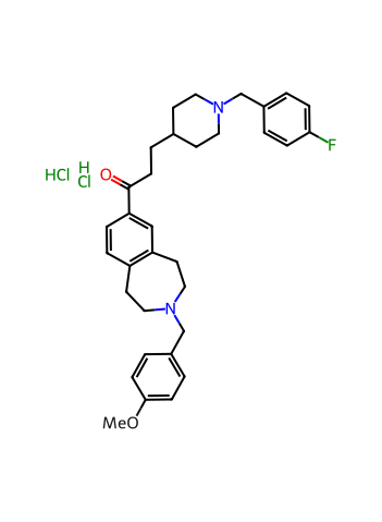 COc1ccc(CN2CCc3ccc(C(=O)CCC4CCN(Cc5ccc(F)cc5)CC4)cc3CC2)cc1.Cl.Cl